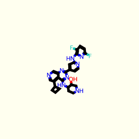 OC1CNCCC1Nc1nc(-c2ccnc(Nc3nc(F)ccc3F)c2)nc2cncc(C3CCC3)c12